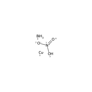 O=[N+]([O-])O.[BiH3].[Cu]